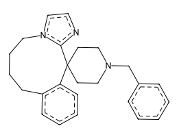 c1ccc(CN2CCC3(CC2)c2ccccc2CCCCn2ccnc23)cc1